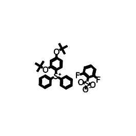 CC(C)(C)Oc1ccc([S+](c2ccccc2)c2ccccc2)c(OC(C)(C)C)c1.O=S(=O)([O-])c1c(F)cccc1F